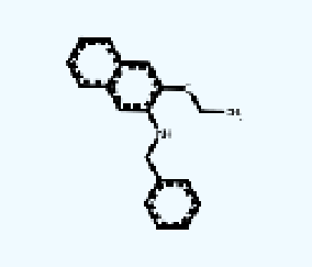 CCOc1cc2ccccc2[c]c1NCc1ccccc1